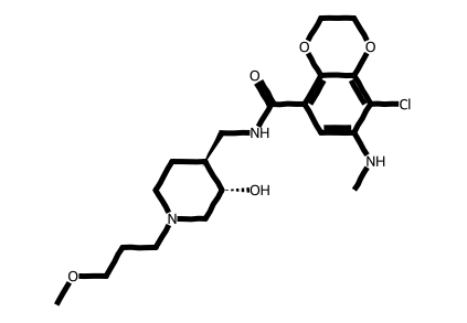 CNc1cc(C(=O)NC[C@@H]2CCN(CCCOC)C[C@H]2O)c2c(c1Cl)OCCO2